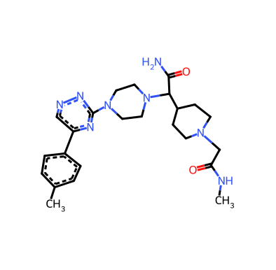 CNC(=O)CN1CCC(C(C(N)=O)N2CCN(c3nncc(-c4ccc(C)cc4)n3)CC2)CC1